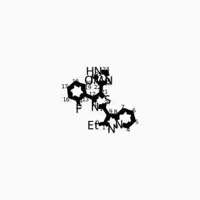 CCc1nn2ccccc2c1-c1nc(-c2c(F)cccc2OC)c(-c2nc[nH]n2)s1